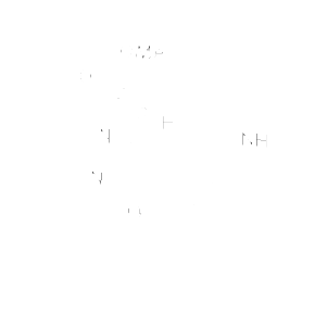 COC(=O)[C@]12C[C@H]1CN(c1cccc(-c3cccc(C)c3OCc3ccc4c(c3C)CCNC4)n1)C2